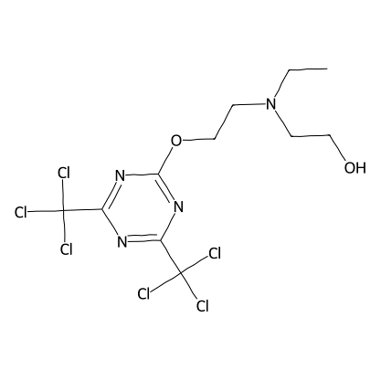 CCN(CCO)CCOc1nc(C(Cl)(Cl)Cl)nc(C(Cl)(Cl)Cl)n1